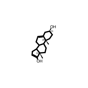 C[C@]12CC[C@H](O)CC1=CCC1C2CC[C@]2(C)C(O)=CCC12